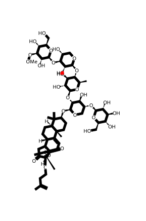 C=C(C)CCC[C@]1(C)OC(=O)[C@]23CC=C4[C@@H](CC[C@H]5C(C)(C)[C@@H](O[C@@H]6OC[C@@H](O[C@@H]7O[C@H](CO)[C@@H](O)[C@H](O)[C@H]7O)[C@H](O)[C@H]6O[C@@H]6O[C@H](C)[C@@H](O[C@@H]7OC[C@@H](O)[C@H](O[C@@H]8O[C@H](CO)[C@@H](O)[C@H](OOC)[C@H]8O)[C@H]7O)[C@H](O)[C@H]6O)CC[C@]45C)[C@]2(C)CC(=O)[C@@H]31